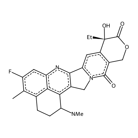 CC[C@@]1(O)C(=O)OCc2c1cc1n(c2=O)Cc2c-1nc1cc(F)c(C)c3c1c2C(NC)CC3